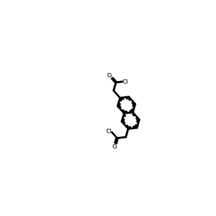 O=C(Cl)Cc1ccc2ccc(CC(=O)Cl)cc2c1